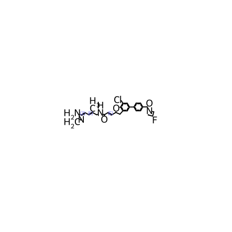 C=N/C(N)=C\C=C(/C)CNC(=O)/C=C/C1Cc2cc(-c3ccc(C(=O)N4CC(F)C4)cc3)cc(Cl)c2O1